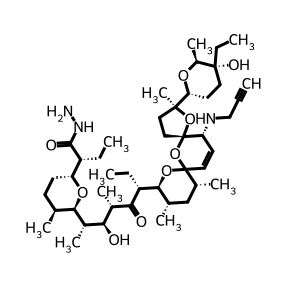 C#CCN[C@@H]1C=CC2(O[C@H]([C@@H](CC)C(=O)[C@@H](C)[C@@H](O)[C@H](C)[C@@H]3O[C@@H]([C@@H](CC)C(=O)NN)CC[C@@H]3C)[C@@H](C)C[C@H]2C)O[C@@]12CC[C@@](C)([C@H]1CC[C@](O)(CC)[C@H](C)O1)O2